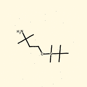 CC(C)(N)CCO[Si](C)(C)C(C)(C)C